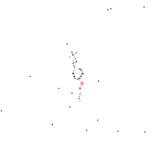 CCCCOc1ccc(/C=C/C(C)(C)C)cc1